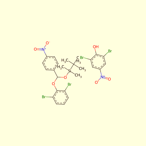 CC(C)(C)[Si](C)(C)OC(Oc1c(Br)cccc1Br)c1ccc([N+](=O)[O-])cc1.O=[N+]([O-])c1cc(Br)c(O)c(Br)c1